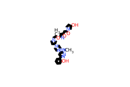 CNc1nnc(-c2ccccc2O)cc1N1CCN(C2CCN(C[C@H](C)Oc3cc(CC(=O)N4CC[C@@H](O)C4)on3)C2)CC1